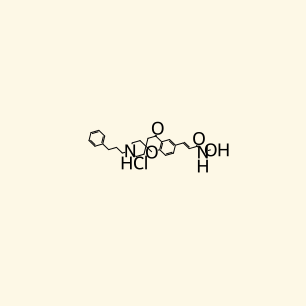 Cl.O=C(/C=C/c1ccc2c(c1)C(=O)CC1(CCN(CCCc3ccccc3)CC1)O2)NO